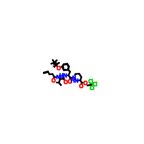 C=CCCC(=O)NC(C(=O)NC(Cc1cccc(O[Si](C)(C)C(C)(C)C)c1)C(=O)N1CCCC(C(=O)OCC(Cl)(Cl)Cl)N1)C(C)C